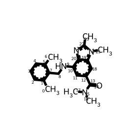 Cc1cccc(C)c1CNc1cc(C(=O)N(C)C)cc2c1nc(C)n2C